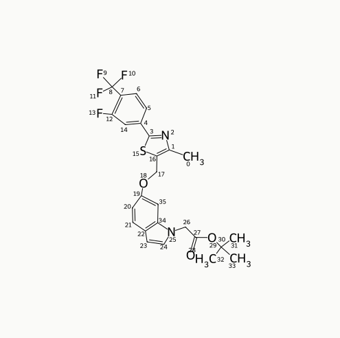 Cc1nc(-c2ccc(C(F)(F)F)c(F)c2)sc1COc1ccc2ccn(CC(=O)OC(C)(C)C)c2c1